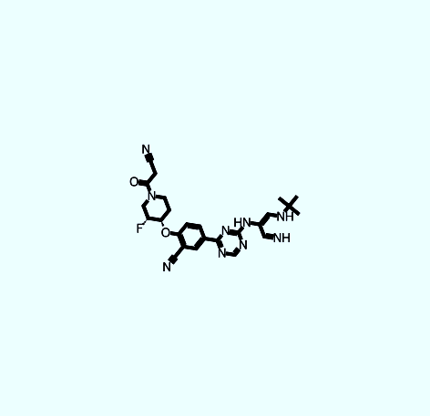 CC(C)(C)N/C=C(\C=N)Nc1ncnc(-c2ccc(O[C@H]3CCN(C(=O)CC#N)C[C@H]3F)c(C#N)c2)n1